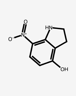 O=[N+]([O-])c1ccc(O)c2c1NCC2